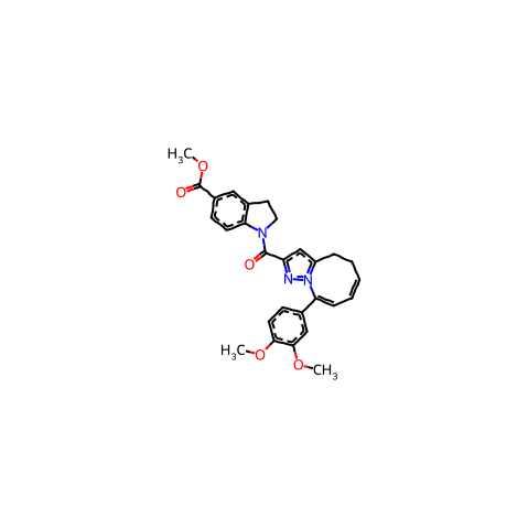 COC(=O)c1ccc2c(c1)CCN2C(=O)c1cc2n(n1)/C(c1ccc(OC)c(OC)c1)=C\C=C/CC2